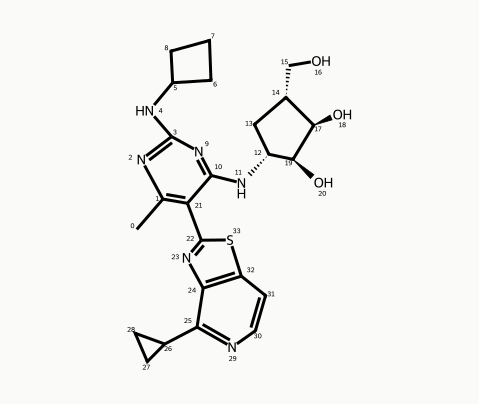 Cc1nc(NC2CCC2)nc(N[C@@H]2C[C@H](CO)[C@@H](O)[C@H]2O)c1-c1nc2c(C3CC3)nccc2s1